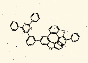 c1ccc(-c2nc(-c3ccccc3)nc(-c3cccc(-c4cc(-c5cccc6sc7c(-c8ccccc8)cccc7c56)c5c(c4)oc4ccccc45)c3)n2)cc1